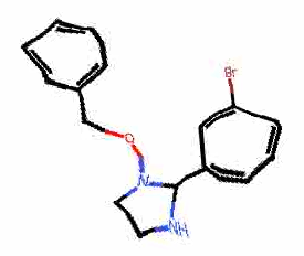 Brc1cccc(C2NCCN2OCc2ccccc2)c1